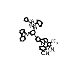 N#Cc1ccc(-n2c3ccccc3c3cc(-c4cc(-c5nc(-c6ccccc6)nc(-c6ccccc6)n5)cc(-n5c6ccccc6c6ccccc65)c4)ccc32)c(-c2ccc(C(F)(F)F)cc2C#N)c1